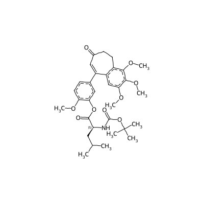 COc1ccc(C2=CC(=O)CCc3c2cc(OC)c(OC)c3OC)cc1OC(=O)[C@H](CC(C)C)NC(=O)OC(C)(C)C